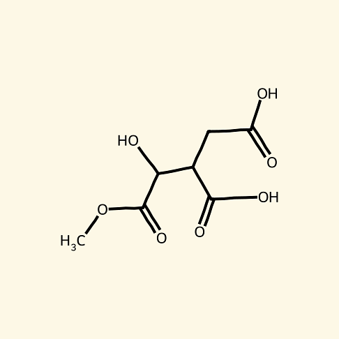 COC(=O)C(O)C(CC(=O)O)C(=O)O